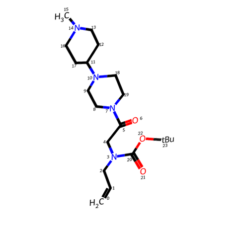 C=CCN(CC(=O)N1CCN(C2CCN(C)CC2)CC1)C(=O)OC(C)(C)C